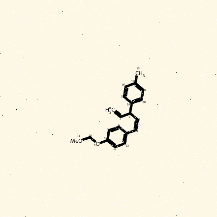 C=CC(/C=C\c1ccc(OCOC)cc1)c1ccc(C)cc1